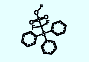 O=S(=O)(OF)C(F)(F)S(c1ccccc1)(c1ccccc1)c1ccccc1